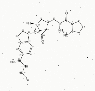 N#CC1CCCN1C(=O)C(N)CN1C[C@@H]2CC1C(=O)N2[C@H]1CCc2cc(C(=N)NNI)ccc21